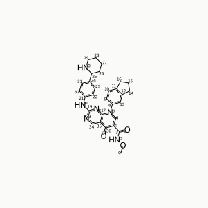 CONC(=O)c1cn(-c2ccc3c(c2)CCC3)c2nc(Nc3ccc(C4CCCCN4)cc3)ncc2c1=O